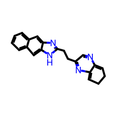 C1=c2ncc(CCc3nc4cc5ccccc5cc4[nH]3)nc2=CCC1